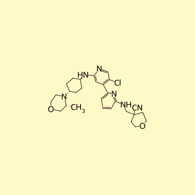 C[C@@H]1COCCN1[C@H]1CC[C@H](Nc2cc(-c3cccc(NCC4(C#N)CCOCC4)n3)c(Cl)cn2)CC1